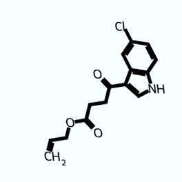 C=CCOC(=O)CCC(=O)c1c[nH]c2ccc(Cl)cc12